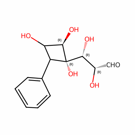 O=C[C@H](O)[C@@H](O)[C@@]1(O)C(c2ccccc2)C(O)[C@H]1O